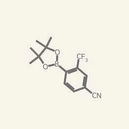 CC1(C)OB(c2ccc(C#N)cc2C(F)(F)F)OC1(C)C